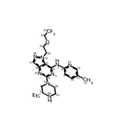 CC[C@@H]1CN(c2nc(Nc3ccc(C)cn3)c3c(cnn3CCOCC(F)(F)F)n2)CCN1